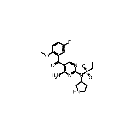 CCS(=O)(=O)N(c1ncc(C(=O)c2cc(F)ccc2OC)c(N)n1)C1CCNC1